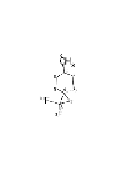 C[C@H]1CC[C@]2(CC1)CC2(F)F